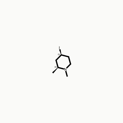 C[C@H]1C[C@@H](I)CCN1C